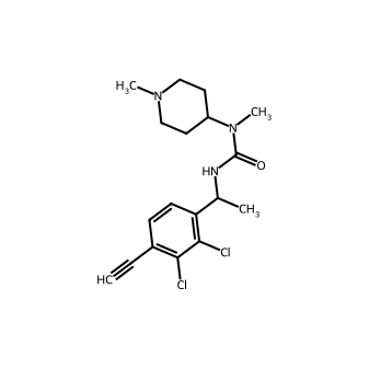 C#Cc1ccc(C(C)NC(=O)N(C)C2CCN(C)CC2)c(Cl)c1Cl